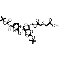 CC(C)(C)OC(=O)Nc1ccn([C@@H]2O[C@H](COC(=O)CSCC(=O)O)[C@@H](OC(=O)OC(C)(C)C)C2(F)F)c(=O)n1